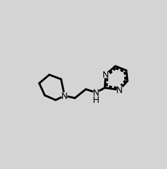 c1cnc(NCCN2CCCCC2)nc1